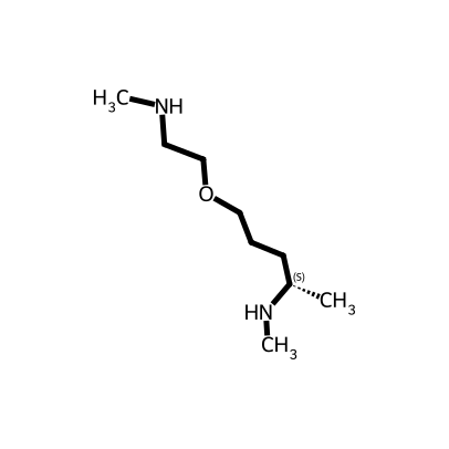 CNCCOCCC[C@H](C)NC